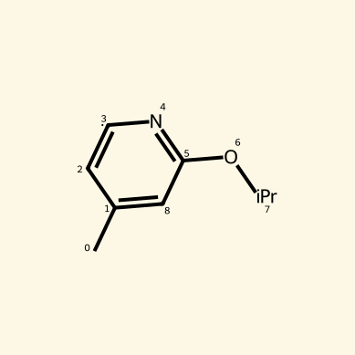 Cc1c[c]nc(OC(C)C)c1